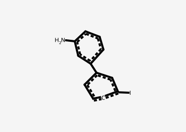 Nc1cccc(-c2cccc(I)c2)c1